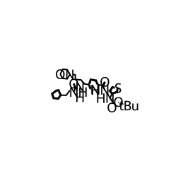 CC(C)(C)OC(=O)Nc1cscc1NC(=O)c1ccc(C(CCCN2CCOCC2)NC(=O)NCCc2ccccc2)cn1